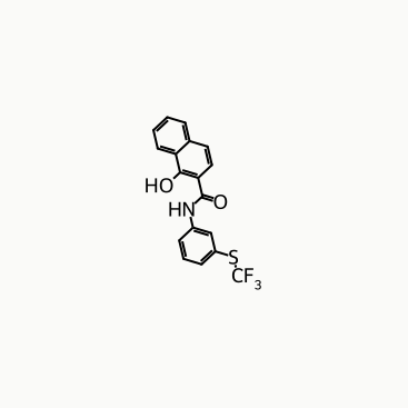 O=C(Nc1cccc(SC(F)(F)F)c1)c1ccc2ccccc2c1O